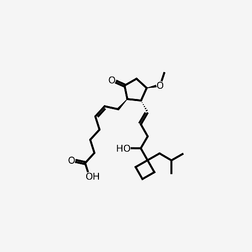 CO[C@@H]1CC(=O)[C@H](C/C=C\CCCC(=O)O)[C@H]1/C=C/CC(O)C1(CC(C)C)CCC1